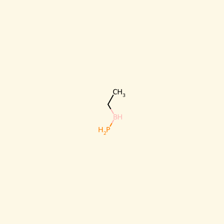 CCBP